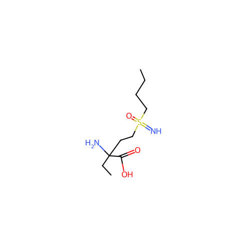 CCCCS(=N)(=O)CCC(N)(CC)C(=O)O